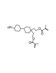 C=C(C)C(=O)OCCC1(CCOC(=O)C(=C)C)CCC(C2CCC(CCC)CC2)CC1